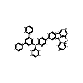 c1ccc(-c2cc(-c3ccccc3)cc(N(c3ccccc3)c3ccc(-c4ccc5c6cccc7c6n(c5c4)-c4ccccc4O7)cc3)c2)cc1